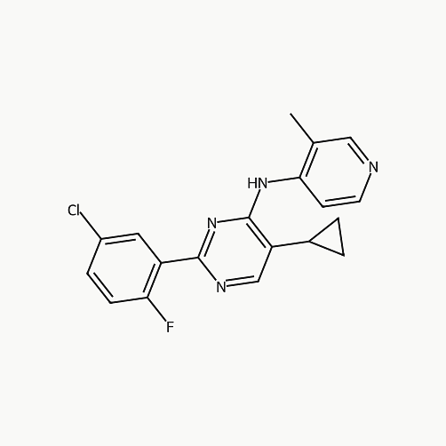 Cc1cnccc1Nc1nc(-c2cc(Cl)ccc2F)ncc1C1CC1